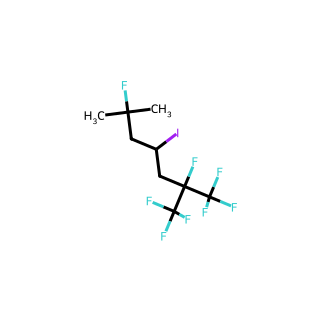 CC(C)(F)CC(I)CC(F)(C(F)(F)F)C(F)(F)F